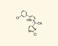 N#C/C(=C1/NC(c2cccc(Cl)c2)=CS1)c1ccnc(Cl)n1